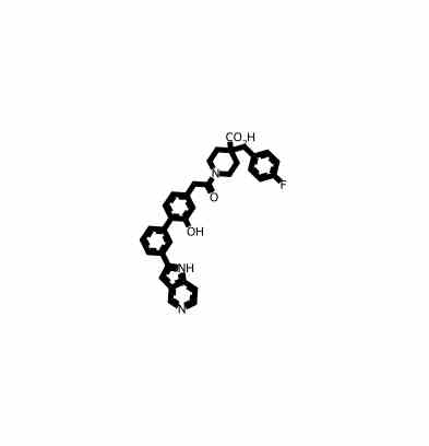 O=C(Cc1ccc(-c2cccc(-c3cc4cnccc4[nH]3)c2)c(O)c1)N1CCC(Cc2ccc(F)cc2)(C(=O)O)CC1